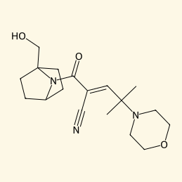 CC(C)(C=C(C#N)C(=O)N1C2CCC1(CO)CC2)N1CCOCC1